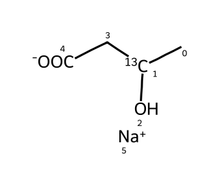 C[13CH](O)C[13C](=O)[O-].[Na+]